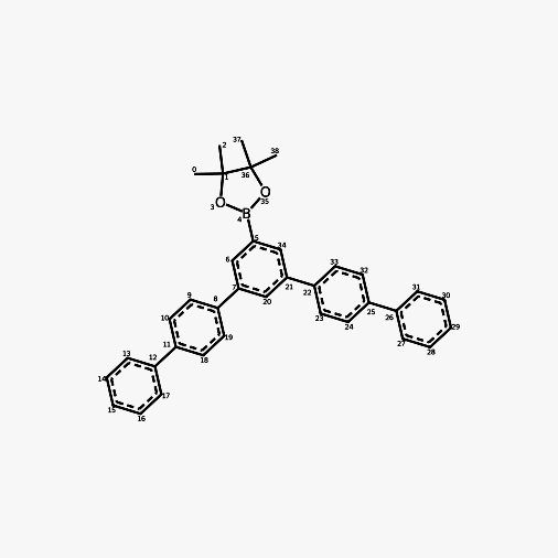 CC1(C)OB(c2cc(-c3ccc(-c4ccccc4)cc3)cc(-c3ccc(-c4ccccc4)cc3)c2)OC1(C)C